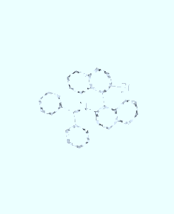 Brc1ccc2ccccc2c1-c1c(N=C(c2ccccc2)c2ccccc2)ccc2ccccc12